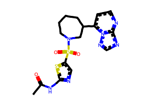 CC(=O)Nc1ncc(S(=O)(=O)N2CCCCC(c3ccnc4ncnn34)C2)s1